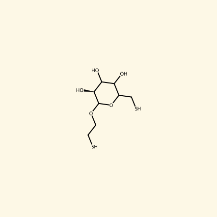 OC1C(CS)OC(OCCS)[C@@H](O)C1O